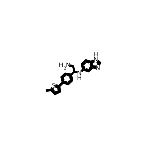 Cc1ccc(-c2ccc(C(CN)Nc3ccc4[nH]cnc4c3)cc2)s1